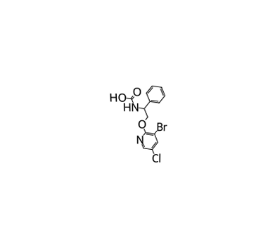 O=C(O)NC(COc1ncc(Cl)cc1Br)c1ccccc1